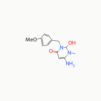 COc1ccc(CN2C(=O)C=C(N)N(C)C2O)cc1